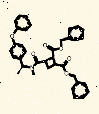 C[C@@H](c1ccc(Oc2ccccc2)cc1)N(C)C(=O)C1CC(C(=O)OCc2ccccc2)C1C(=O)OCc1ccccc1